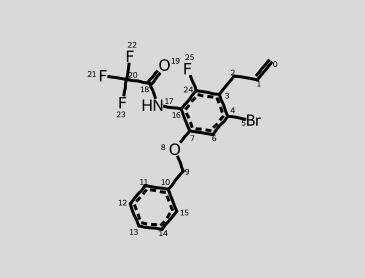 C=CCc1c(Br)cc(OCc2ccccc2)c(NC(=O)C(F)(F)F)c1F